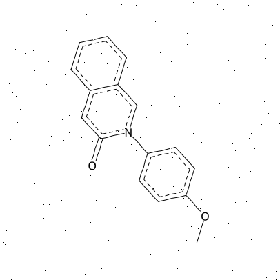 COc1ccc(-n2cc3ccccc3cc2=O)cc1